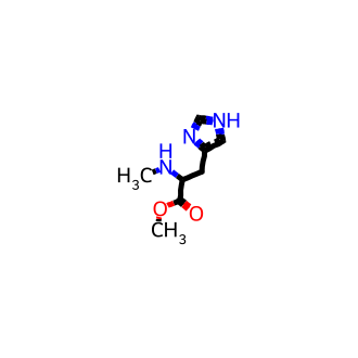 CNC(Cc1c[nH]cn1)C(=O)OC